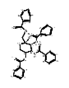 O=C(OC[C@@]1(Cl)OC[C@H](OC(=O)c2ccccc2)[C@@H](OC(=O)c2ccccc2)[C@@H]1OC(=O)c1ccccc1)c1ccccc1